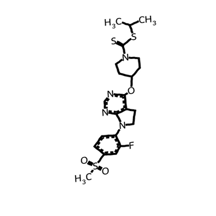 CC(C)SC(=S)N1CCC(Oc2ncnc3c2CCN3c2ccc(S(C)(=O)=O)cc2F)CC1